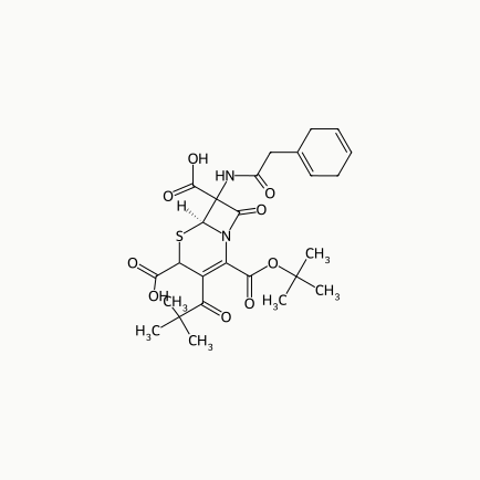 CC(C)(C)OC(=O)C1=C(C(=O)C(C)(C)C)C(C(=O)O)S[C@@H]2N1C(=O)C2(NC(=O)CC1=CCC=CC1)C(=O)O